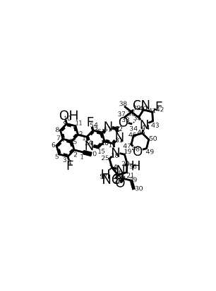 C#Cc1c(F)ccc2cc(O)cc(-c3ncc4c(N5C[C@H]6CC(C#N)[C@@H](C5)N6C(=O)C=C)nc(OC[C@]5(C(C)(C)C#N)C[C@@H](F)CN5C5CCOCC5)nc4c3F)c12